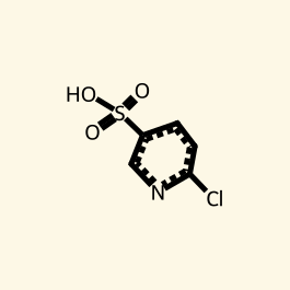 O=S(=O)(O)c1ccc(Cl)nc1